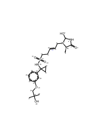 C[C@@H]1C(=O)NC(O)N1C/C=C/CCS(=O)(=O)NC1(c2cccc(OCC(C)(C)O)c2)CC1